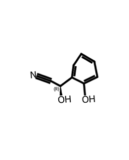 N#C[C@H](O)c1ccccc1O